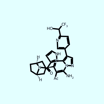 CC(=O)c1c([C@H]2C[C@H]3CC[C@@H](C2)N3C(=O)c2cc[nH]n2)nc2c(-c3ccc(C(O)C(F)(F)F)nc3)cnn2c1N